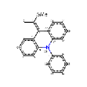 CSC(C)=C1c2ccccc2N(c2ccccc2)c2ccccc21